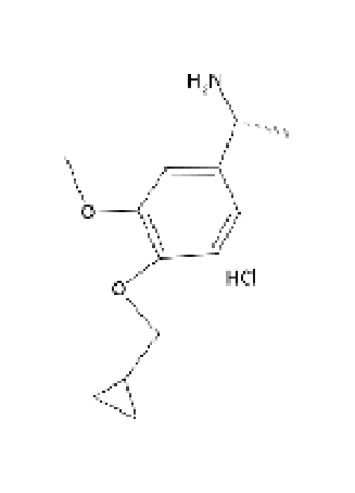 COc1cc([C@@H](C)N)ccc1OCC1CC1.Cl